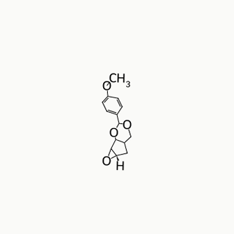 COc1ccc(C2OCC3C[C@@H]4OC4C3O2)cc1